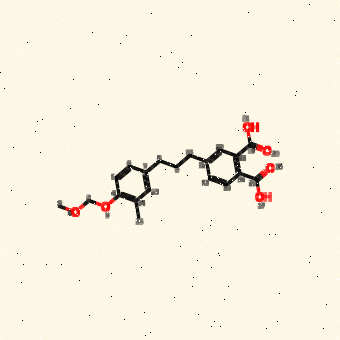 COCOc1ccc(CCCc2ccc(C(=O)O)c(C(=O)O)c2)cc1C